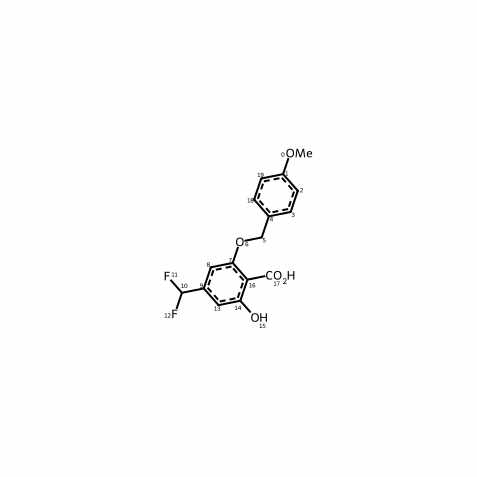 COc1ccc(COc2cc(C(F)F)cc(O)c2C(=O)O)cc1